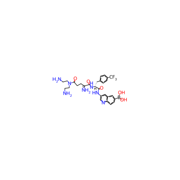 NCCN(CCN)C(=O)CC[C@H](N)C(=O)N[C@H](Cc1ccc(C(F)(F)F)cc1)C(=O)Nc1cnc2ccc(B(O)O)cc2c1